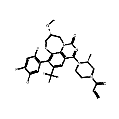 C=CC(=O)N1CCN(c2nc(=O)n3c4c(c(-c5cc(Cl)c(F)cc5F)c(C(F)(F)F)cc24)SC[C@H](OC)C3)[C@@H](C)C1